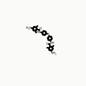 Cc1cc(N)cc(C)c1C(=O)Nc1ccc(Sc2ccc(NC(=O)c3c(C)cc(N)cc3C)cc2)cc1